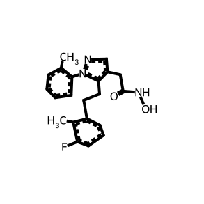 Cc1ccccc1-n1ncc(CC(=O)NO)c1CCc1cccc(F)c1C